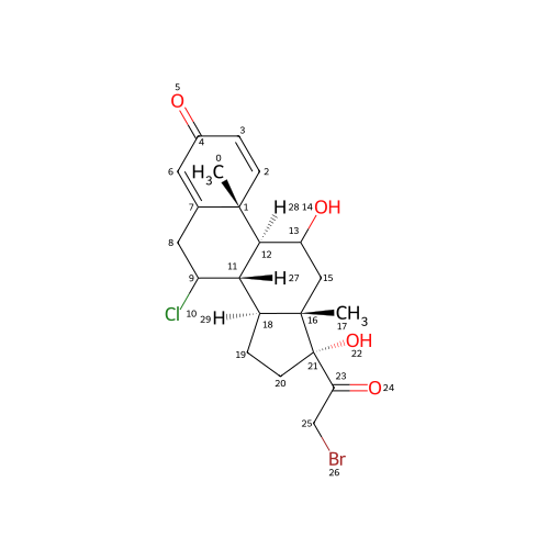 C[C@]12C=CC(=O)C=C1CC(Cl)[C@@H]1[C@@H]2C(O)C[C@@]2(C)[C@H]1CC[C@]2(O)C(=O)CBr